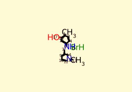 Br.Cc1ccc(NCC2=CC=CN(C)C2)cc1O